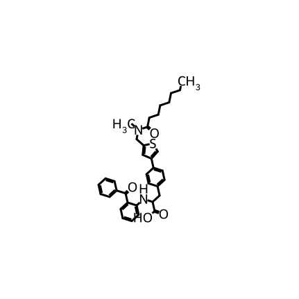 CCCCCCCC(=O)N(C)Cc1cc(-c2ccc(CC(Nc3ccccc3C(=O)c3ccccc3)C(=O)O)cc2)cs1